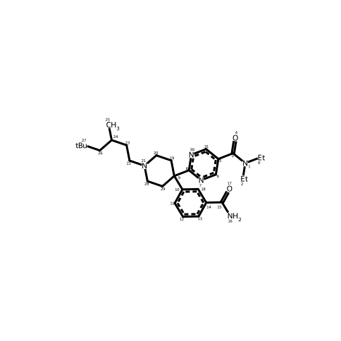 CCN(CC)C(=O)c1cnc(C2(c3cccc(C(N)=O)c3)CCN(CCC(C)CC(C)(C)C)CC2)nc1